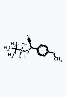 CSc1ccc(C(C#N)O[Si](C)(C)C(C)(C)C)cc1